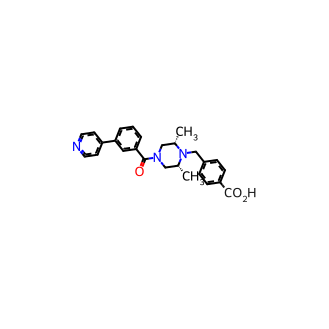 C[C@@H]1CN(C(=O)c2cccc(-c3ccncc3)c2)C[C@H](C)N1Cc1ccc(C(=O)O)cc1